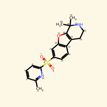 Cc1cccc(S(=O)(=O)c2ccc3c4c(oc3c2)C(C)(C)NCC4)n1